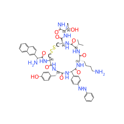 CC(C)[C@@H]1NC(=O)[C@H](CCCCN)NC(=O)C(c2ccc(/N=N/c3ccccc3)cc2)NC(=O)[C@H](Cc2ccc(O)cc2)NC(=O)[C@@H](NC(=O)C(N)c2ccc3ccccc3c2)CSSC[C@@H](C(=O)N[C@H](C(N)=O)[C@@H](C)O)NC1=O